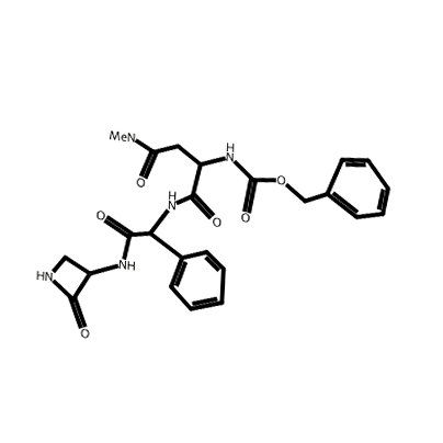 CNC(=O)CC(NC(=O)OCc1ccccc1)C(=O)NC(C(=O)NC1CNC1=O)c1ccccc1